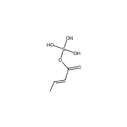 CC=CC(=O)O[Si](O)(O)O